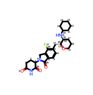 O=C1CCC(N2Cc3c(ccc(C[C@H]4OCCC[C@@H]4NC4CCCCC4)c3F)C2=O)C(=O)N1